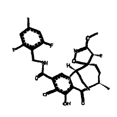 COC1=NO[C@@]2(CC[C@H](C)N3C[C@H]2n2cc(C(=O)NCc4c(F)cc(C)cc4F)c(=O)c(O)c2C3=O)[C@H]1F